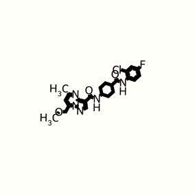 COCc1cc(C)nc2c(C(=O)NC3CCC(C(=O)Nc4ccc(F)cc4Cl)CC3)cnn12